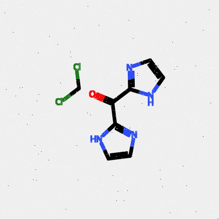 ClCCl.O=C(c1ncc[nH]1)c1ncc[nH]1